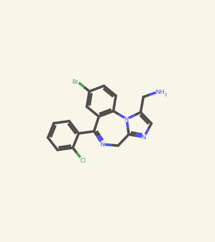 NCc1cnc2n1-c1ccc(Br)cc1C(c1ccccc1Cl)=NC2